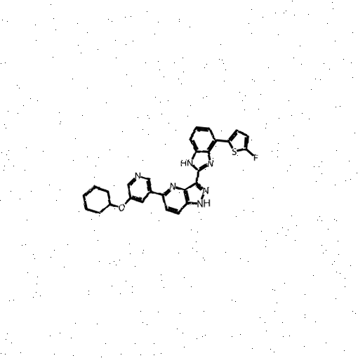 Fc1ccc(-c2cccc3[nH]c(-c4n[nH]c5ccc(-c6cncc(OC7CCCCC7)c6)nc45)nc23)s1